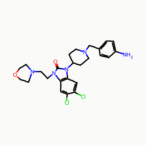 Nc1ccc(CN2CCC(n3c(=O)n(CCN4CCOCC4)c4cc(Cl)c(Cl)cc43)CC2)cc1